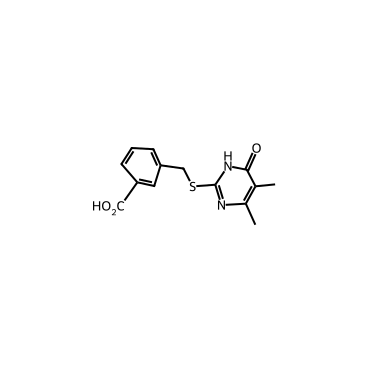 Cc1nc(SCc2cccc(C(=O)O)c2)[nH]c(=O)c1C